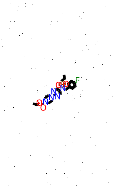 CCCS(=O)(=O)N(Cc1ccc(F)cc1)c1cnc(N2CCN(C(=O)OCC)CC2)nc1